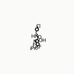 CC(C)Oc1c(F)cc2c(O)c(C(=O)NCCc3ccc(Cl)cc3)cnc2c1F